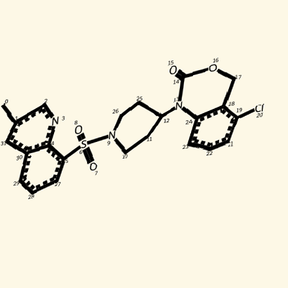 Cc1cnc2c(S(=O)(=O)N3CCC(N4C(=O)OCc5c(Cl)cccc54)CC3)cccc2c1